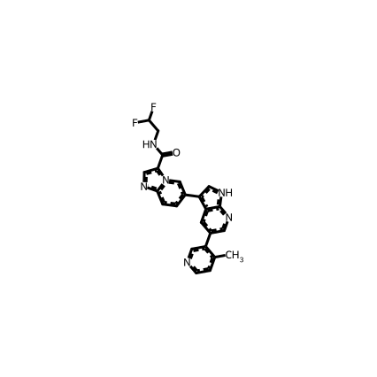 Cc1ccncc1-c1cnc2[nH]cc(-c3ccc4ncc(C(=O)NCC(F)F)n4c3)c2c1